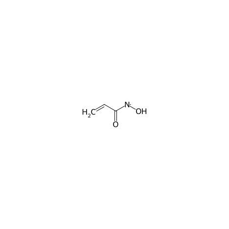 C=CC(=O)[N]O